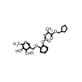 Cc1ncc(COc2ccccc2O[P+]([O-])=N[C@@H](C)C(=O)OCC2CCCC2)c(C=O)c1O